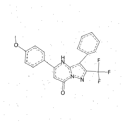 COc1ccc(-c2cc(=O)n3nc(C(F)(F)F)c(-c4ccccc4)c3[nH]2)cc1